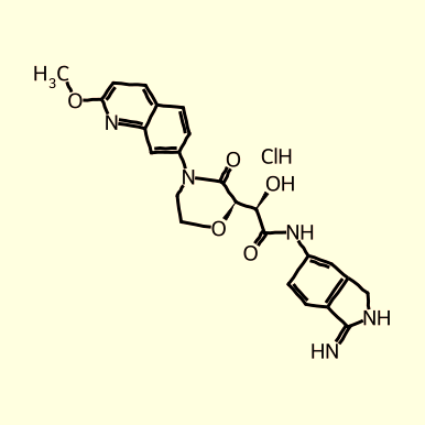 COc1ccc2ccc(N3CCO[C@H]([C@@H](O)C(=O)Nc4ccc5c(c4)CNC5=N)C3=O)cc2n1.Cl